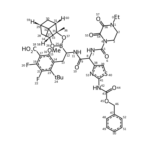 CCN1CCN(C(=O)NC(C(=O)NC(Cc2c(OC)c(C(=O)O)c(F)c(F)c2C(C)(C)C)B2O[C@@H]3C[C@@H]4C[C@@H](C4(C)C)[C@]3(C)O2)c2csc(NC(=O)OCc3ccccc3)n2)C(=O)C1=O